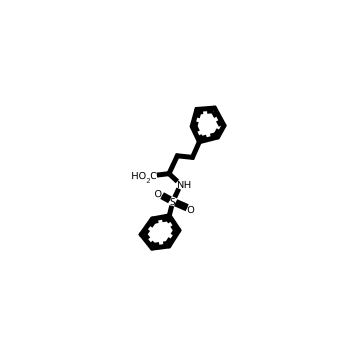 O=C(O)C(CCc1ccccc1)NS(=O)(=O)c1ccccc1